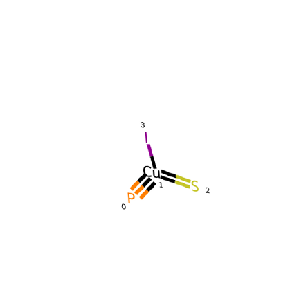 [P]#[Cu](=[S])[I]